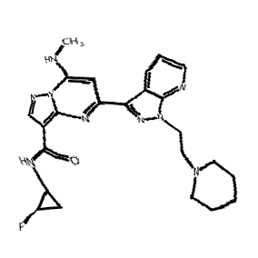 CNc1cc(-c2nn(CCN3CCCCC3)c3ncccc23)nc2c(C(=O)NC3C[C@H]3F)cnn12